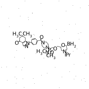 BC1CN(C(C)C)CC(COCP(=O)(N(C)C)N2CCN(C(=O)c3ccc(-n4ncc5c4CC(C)(C)CC5=O)cc3)CC2)O1